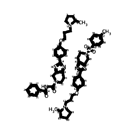 CC1CCCN1CCCOc1ccc(-c2nc3c(s2)CN(C(=O)NC(=O)c2ccccc2)CC3)cc1.Cc1ccc(S(=O)(=O)N2CCc3nc(-c4ccc(OCCCN5CCCC5C)cc4)sc3C2)cc1